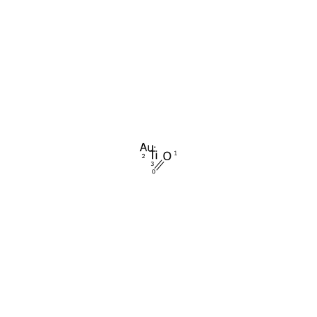 C=O.[Au].[Ti]